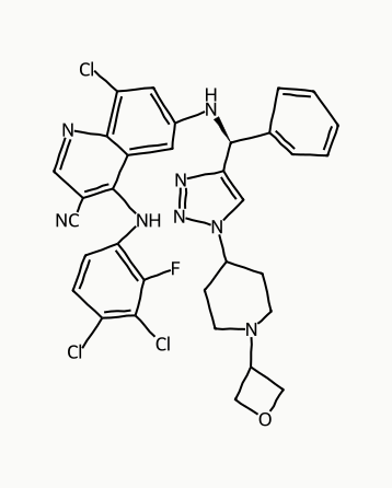 N#Cc1cnc2c(Cl)cc(N[C@@H](c3ccccc3)c3cn(C4CCN(C5COC5)CC4)nn3)cc2c1Nc1ccc(Cl)c(Cl)c1F